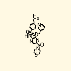 Cc1ccc(S(=O)(=O)Nc2ncc(C(=O)N3CCSCC3)nc2OCc2cccnc2)cc1